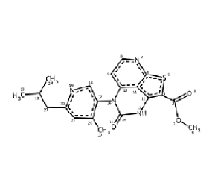 COC(=O)c1sc2nccc3c2c1NC(=O)N3c1cnc(CC(C)C)cc1C